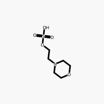 O=S(=O)(O)OCCN1CCOCC1